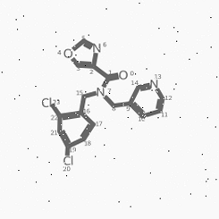 O=C(c1cocn1)N(Cc1cccnc1)Cc1ccc(Cl)cc1Cl